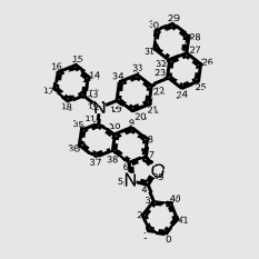 c1ccc(-c2nc3c(ccc4c(N(c5ccccc5)c5ccc(-c6cccc7ccccc67)cc5)cccc43)o2)cc1